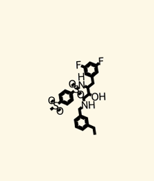 CCc1cccc(CNCC(O)C(Cc2cc(F)cc(F)c2)NS(=O)(=O)c2ccc(S(C)(=O)=O)cc2)c1